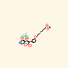 C=CS(=O)(=O)CCCCCCCCOc1cccc(-c2cc3c(S(=O)(=O)C(F)(F)F)cncc3oc2=O)c1